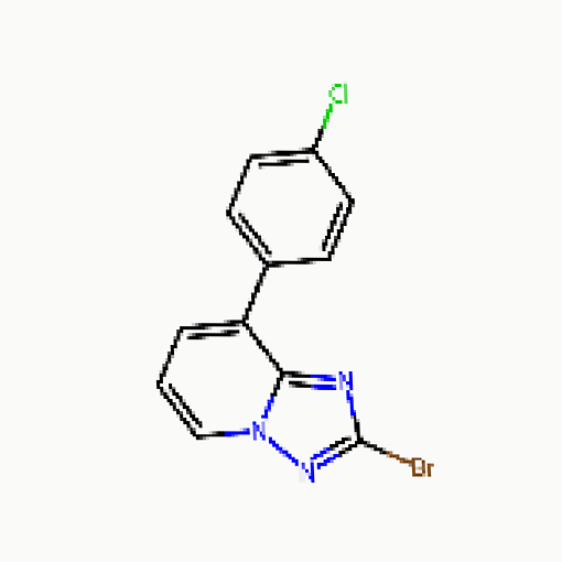 Clc1ccc(-c2cccn3nc(Br)nc23)cc1